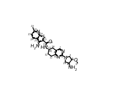 CO[C@H]1CN(c2ncc3c(n2)CC[C@@H](NC(=O)c2sc4nc(C)ccc4c2N)C3)C[C@@H]1N